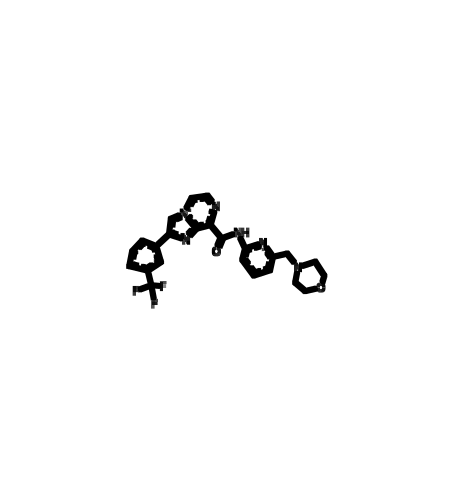 O=C(Nc1cccc(CN2CCOCC2)n1)c1nccn2cc(-c3cccc(C(F)(F)F)c3)nc12